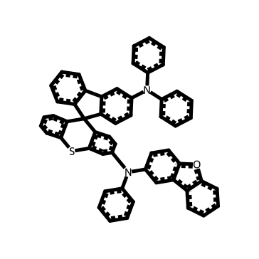 c1ccc(N(c2ccccc2)c2ccc3c(c2)-c2ccccc2C32c3ccccc3Sc3cc(N(c4ccccc4)c4ccc5oc6ccccc6c5c4)ccc32)cc1